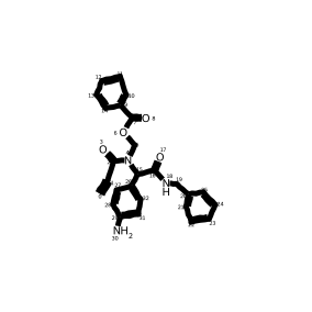 C#CC(=O)N(COC(=O)c1ccccc1)C(C(=O)NCc1ccccc1)c1ccc(N)cc1